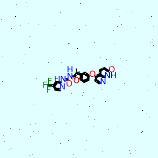 C[C@H]1c2cc(Oc3ccnc4c3CCC(=O)N4)ccc2O[C@H]1NC(=O)Nc1cc(C(F)(F)F)ccn1